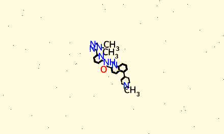 CC(C)n1cnnc1-c1cccc(NC(=O)c2ccc3c(C4=CCN(C)CC4)cccc3n2)n1